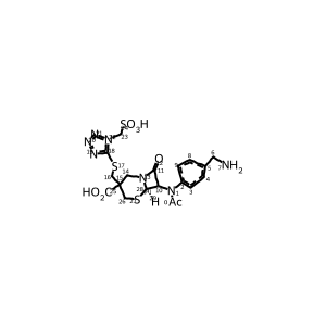 CC(=O)N(c1ccc(CN)cc1)C1C(=O)N2CC(CSc3nnnn3CS(=O)(=O)O)(C(=O)O)CS[C@H]12